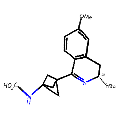 CCCC[C@H]1Cc2cc(OC)ccc2C(C23CC(NC(=O)O)(C2)C3)=N1